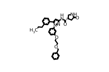 CCCc1cccc(-c2cc(NC(=O)[C@@H]3CNC(=O)C3)nn2-c2cccc(OCCOCc3ccccc3)c2)c1